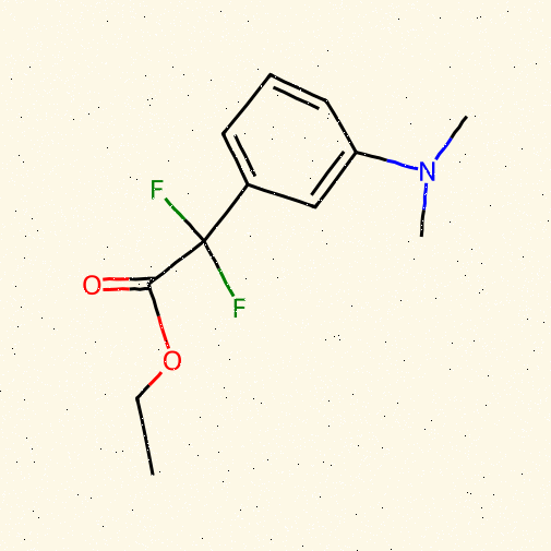 CCOC(=O)C(F)(F)c1cccc(N(C)C)c1